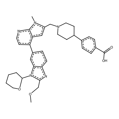 COCc1nc2ccc(-c3ccnc4c3cc(CN3CCC(c5ccc(C(=O)O)cc5)CC3)n4C)cc2n1C1CCCCO1